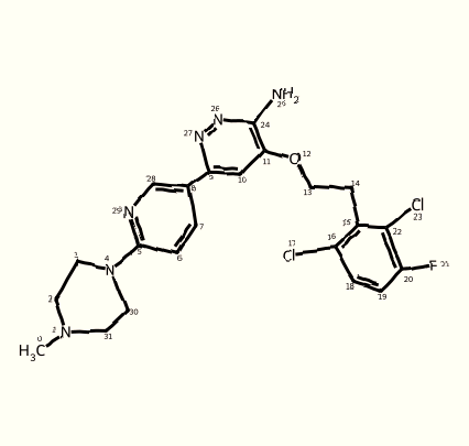 CN1CCN(c2ccc(-c3cc(OCCc4c(Cl)ccc(F)c4Cl)c(N)nn3)cn2)CC1